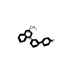 C[C@H]1Cc2ccccc2[C@H](c2cccc(-c3ccc(F)cc3)c2)C1